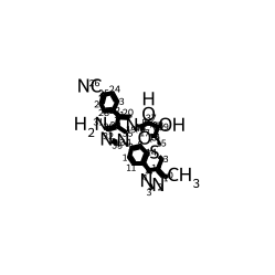 Cc1ncnc(-c2ccccc2)c1CSC[C@H]1O[C@@H](n2cc(-c3ccc(C#N)cc3)c3c(N)ncnc32)[C@H](O)[C@@H]1O